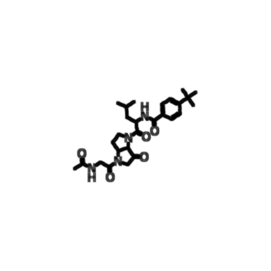 CC(=O)NCC(=O)N1CC(=O)C2C1CCN2C(=O)C(CC(C)C)NC(=O)c1ccc(C(C)(C)C)cc1